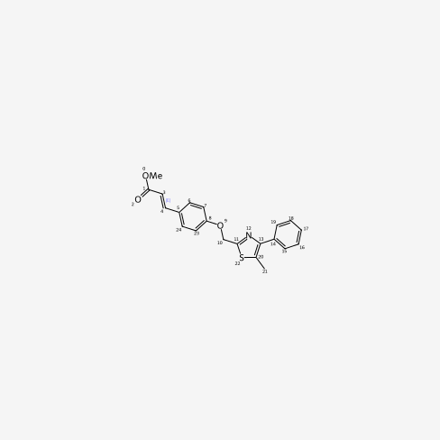 COC(=O)/C=C/c1ccc(OCc2nc(-c3ccccc3)c(C)s2)cc1